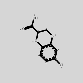 O=C(O)C1CSc2cc(Cl)ccc2O1